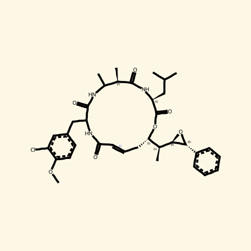 COc1ccc(CC2NC(=O)/C=C/C[C@@H]([C@H](C)[C@H]3O[C@@H]3c3ccccc3)OC(=O)[C@H](CC(C)C)NC(=O)[C@H](C)C(C)NC2=O)cc1Cl